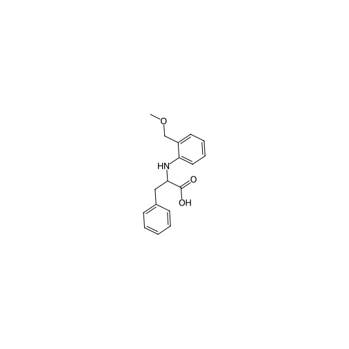 COCc1ccccc1NC(Cc1ccccc1)C(=O)O